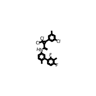 C=C(Nc1ccc(C)c(-c2ccc(F)c(C)c2F)c1)C1C(c2cc(C)cc(Cl)c2)C1(Cl)Cl